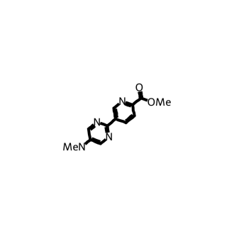 CNc1cnc(-c2ccc(C(=O)OC)nc2)nc1